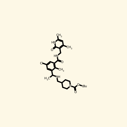 Cc1cc(C)c(CNC(=O)c2cc(Cl)cc(C(C)NCC3CCN(C(=O)OC(C)(C)C)CC3)c2C)c(=O)[nH]1